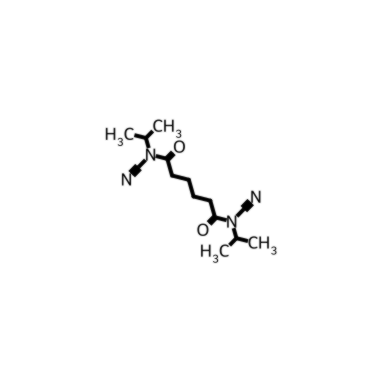 CC(C)N(C#N)C(=O)CCCCC(=O)N(C#N)C(C)C